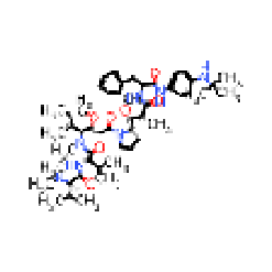 CC[C@H](C)C([C@@H](CC(=O)N1CCC[C@H]1[C@H](OC)[C@@H](C)C(=O)NC(Cc1ccccc1)C(=O)Nc1ccc(NC(C)(C)C)cc1)OC)N(C)C(=O)[C@@H](NC(=O)[C@H](C(C)C)N(C)C)C(C)C